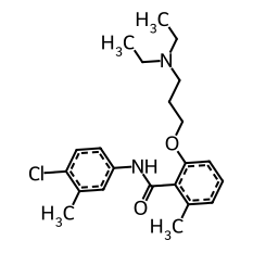 CCN(CC)CCCOc1cccc(C)c1C(=O)Nc1ccc(Cl)c(C)c1